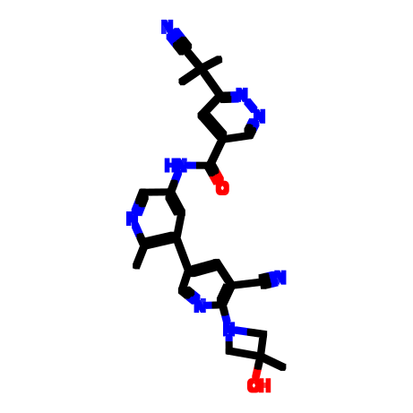 Cc1ncc(NC(=O)c2cnnc(C(C)(C)C#N)c2)cc1-c1cnc(N2CC(C)(O)C2)c(C#N)c1